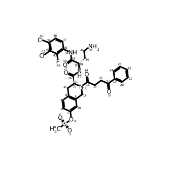 CS(=O)(=O)Oc1ccc2c(c1)CN(C(=O)CCC(=O)c1ccccc1)[C@H](C(=O)N[C@@H](CCN)C(=O)Nc1ccc(Cl)c(Cl)c1F)C2